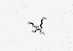 CN(CCCCO)N(O)NOCCl